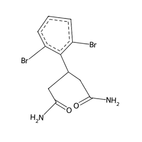 NC(=O)CC(CC(N)=O)c1c(Br)cccc1Br